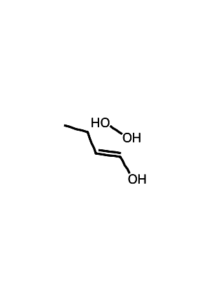 CCC=CO.OO